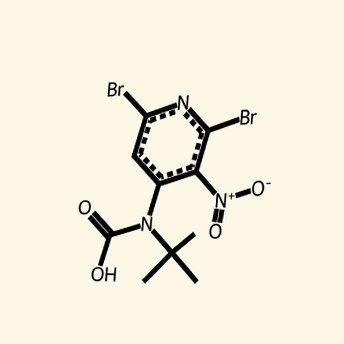 CC(C)(C)N(C(=O)O)c1cc(Br)nc(Br)c1[N+](=O)[O-]